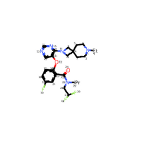 CCN1CCC2(CC1)CN(c1ncncc1Oc1ccc(F)cc1C(=O)N(CC(F)F)C(C)C)C2